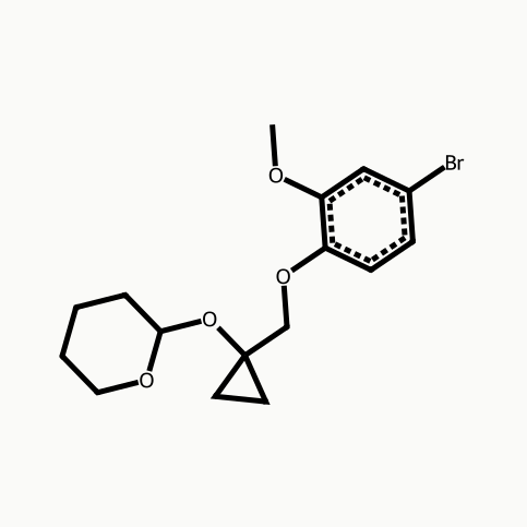 COc1cc(Br)ccc1OCC1(OC2CCCCO2)CC1